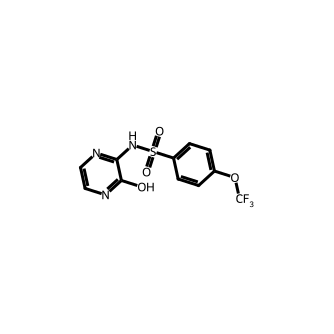 O=S(=O)(Nc1nccnc1O)c1ccc(OC(F)(F)F)cc1